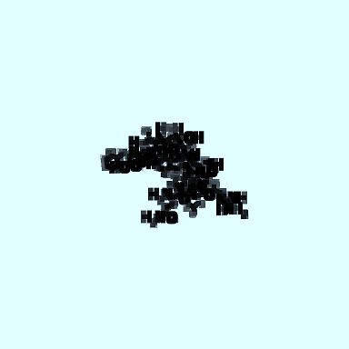 CC(C)C[C@H](NC(=O)[C@@H]1CCCN1C(=O)[C@@H](N)CCC(N)=O)C(=O)N[C@@H](CCCNC(=N)N)C(=O)N[C@@H](CS)C(=O)N[C@@H](Cc1ccc(O)cc1)C(=O)N[C@@H](CO)C(=O)N[C@@H](C)C(=O)N[C@H](C(=O)NCC(=O)N[C@@H](Cc1ccccc1)C(=O)O)C(C)C